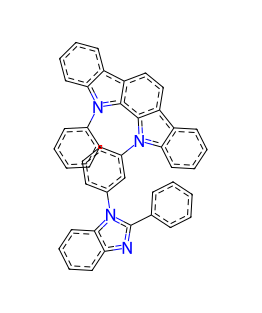 c1ccc(-c2nc3ccccc3n2-c2cccc(-n3c4ccccc4c4ccc5c6ccccc6n(-c6ccccc6)c5c43)c2)cc1